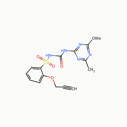 C#CCOc1ccccc1S(=O)(=O)NC(=O)Nc1nc(C)nc(OC)n1